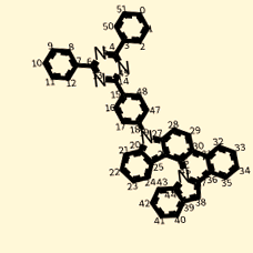 c1ccc(-c2nc(-c3ccccc3)nc(-c3ccc(-n4c5ccccc5c5c4ccc4c6ccccc6c6cc7ccccc7n6c45)cc3)n2)cc1